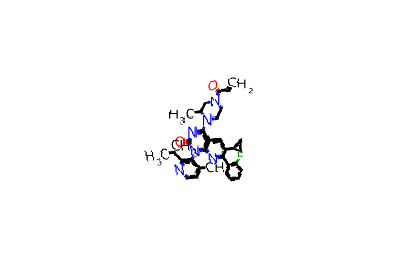 C=CC(=O)N1CCN(c2nc(=O)n(-c3c(C)ccnc3C(C)C)c3nc(-c4ccccc4F)c(C4CC4)cc23)C(C)C1